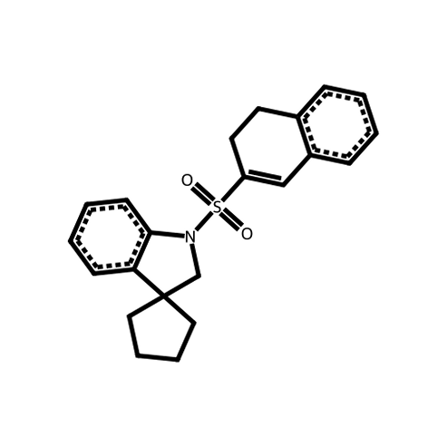 O=S(=O)(C1=Cc2ccccc2CC1)N1CC2(CCCC2)c2ccccc21